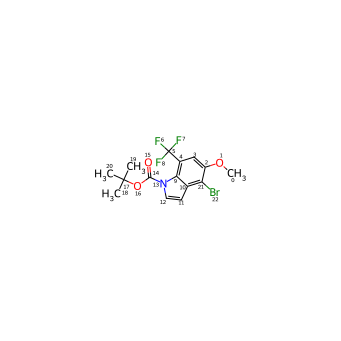 COc1cc(C(F)(F)F)c2c(ccn2C(=O)OC(C)(C)C)c1Br